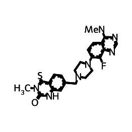 CNc1ncnc2c(F)c(N3CCN(Cc4ccc5c(=S)n(C)c(=O)[nH]c5c4)CC3)ccc12